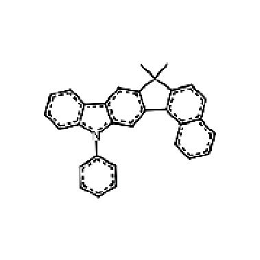 CC1(C)c2cc3c4ccccc4n(-c4ccccc4)c3cc2-c2c1ccc1ccccc21